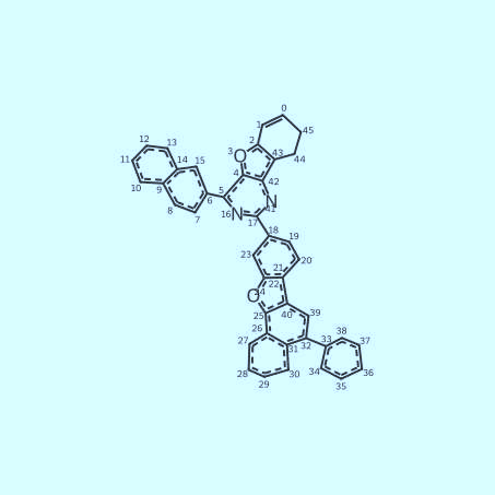 C1=Cc2oc3c(-c4ccc5ccccc5c4)nc(-c4ccc5c(c4)oc4c6ccccc6c(-c6ccccc6)cc54)nc3c2CC1